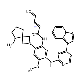 C=C/C=C/C(=O)Nc1cc(Nc2nccc(-c3cnn4ccccc34)n2)c(OC)cc1N1CC2(CCCN2C)C1